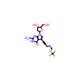 Nc1nc2c(c(C#CC/N=C\OC(F)(F)F)cn2C2CC(O)C(CO)O2)c(=O)[nH]1